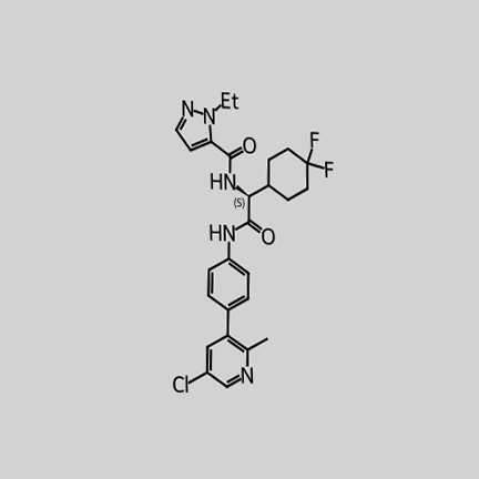 CCn1nccc1C(=O)N[C@H](C(=O)Nc1ccc(-c2cc(Cl)cnc2C)cc1)C1CCC(F)(F)CC1